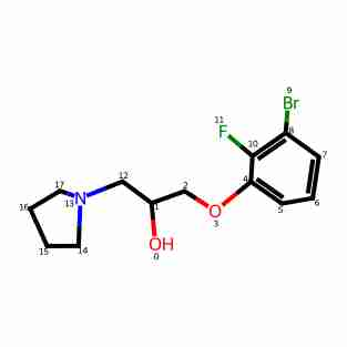 OC(COc1cccc(Br)c1F)CN1CCCC1